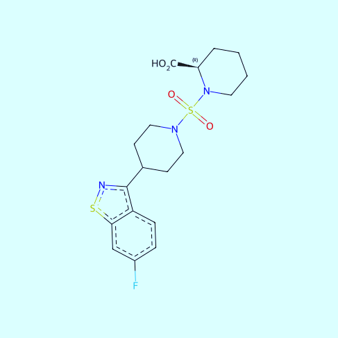 O=C(O)[C@H]1CCCCN1S(=O)(=O)N1CCC(c2nsc3cc(F)ccc23)CC1